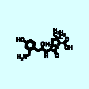 CC1(C)S[C@@H]2C(NC(=O)Cc3ccc(O)cc3CN)C(=O)N2[C@H]1C(=O)O